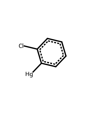 Clc1cccc[c]1[Hg]